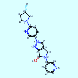 O=C1c2nn(-c3ccc(N4CC[C@@H](F)C4)nc3)cc2CN1c1cccnc1